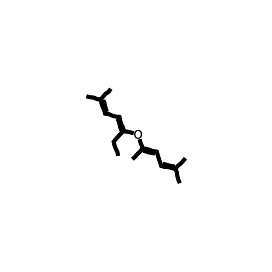 CC/C(=C\C=C(C)C)O/C(C)=C/C=C(C)C